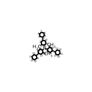 Cc1cc(-c2ccccc2)ccc1N(c1ccc(-c2ccccc2)cc1C)c1ccc(-c2ccccc2)cc1C